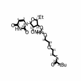 CC[C@H]1O[C@@H](n2ccc(=O)[nH]c2=O)[C@@H](OC)C1OPOCCOCCSC(=O)C(C)(C)C